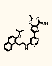 CCOc1cc(-c2cc(NCCc3c(OC(C)C)ccc4ccccc34)ncn2)sc1C(=O)O